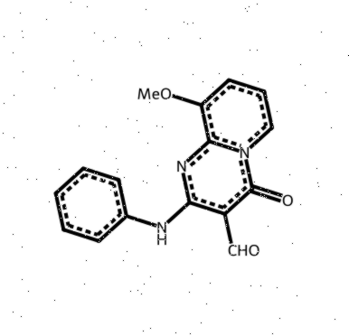 COc1cccn2c(=O)c(C=O)c(Nc3ccccc3)nc12